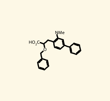 CNc1cc(-c2ccccc2)ccc1CC(OCc1ccccc1)C(=O)O